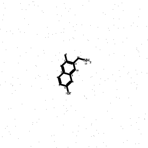 Cc1cc2ccc(Br)cc2cc1CN